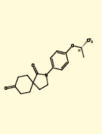 C[C@H](Oc1ccc(N2CCC3(CCC(=O)CC3)C2=O)cc1)C(F)(F)F